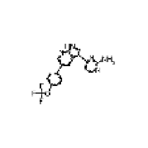 Nc1nccc(-c2c[nH]c3ncc(-c4ccc(OC(F)(F)F)cc4)cc23)n1